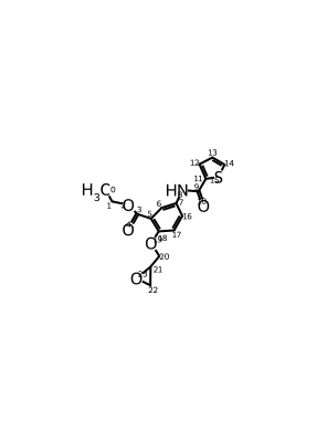 CCOC(=O)c1cc(NC(=O)c2cccs2)ccc1OCC1CO1